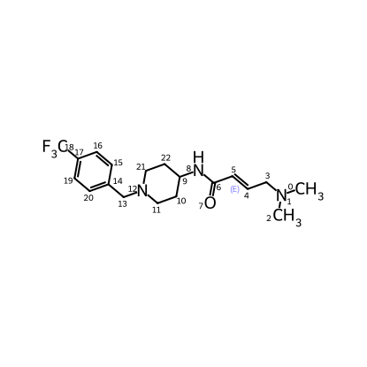 CN(C)C/C=C/C(=O)NC1CCN(Cc2ccc(C(F)(F)F)cc2)CC1